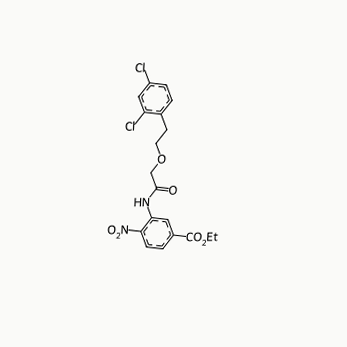 CCOC(=O)c1ccc([N+](=O)[O-])c(NC(=O)COCCc2ccc(Cl)cc2Cl)c1